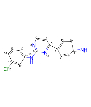 N=C1C=CC(c2ccnc(Nc3cccc(Cl)c3)n2)=CC1